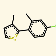 Cc1cc(F)ccc1-c1sccc1C